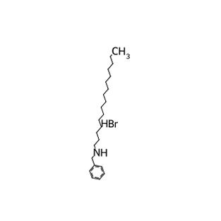 Br.CCCCCCCCCCCCCCCCNCc1ccccc1